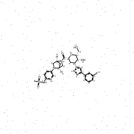 CS(=O)(=O)Nc1ccc(N2C[C@@H]3C[C@H]2CN3C(=O)[C@H]2C[C@@H](n3cc(-c4cccc(F)c4)nn3)[C@@H](O)[C@@H](CO)O2)cn1